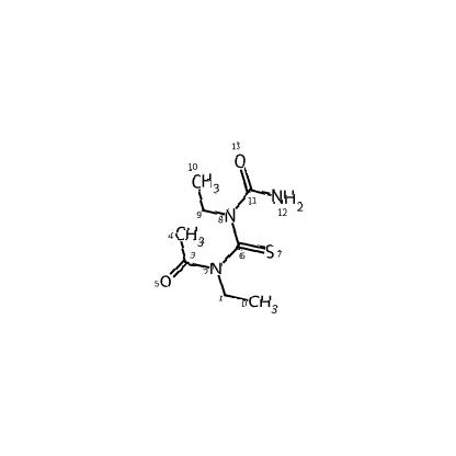 CCN(C(C)=O)C(=S)N(CC)C(N)=O